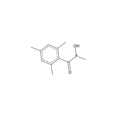 Cc1cc(C)c(C(=O)P(C)O)c(C)c1